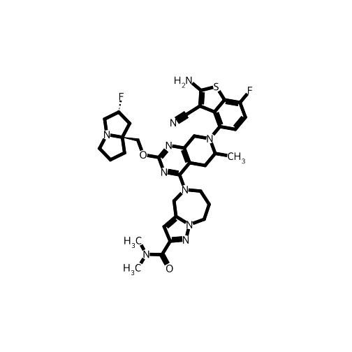 CC1Cc2c(nc(OC[C@@]34CCCN3C[C@H](F)C4)nc2N2CCCn3nc(C(=O)N(C)C)cc3C2)CN1c1ccc(F)c2sc(N)c(C#N)c12